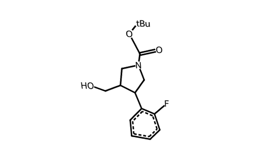 CC(C)(C)OC(=O)N1CC(CO)C(c2ccccc2F)C1